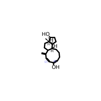 C=C1/C=C\C(O)=C/CCC[C@@H]2C1CC[C@]1(C)[C@@H](O)CC[C@@H]21